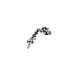 COO/C=N/[C@H](C(=O)N1CCC[C@H]1c1ncc(-c2ccc(-c3ccc(-c4cnc([C@@H]5CCCN5C(=O)[C@H](NC5=NCCN5)C(C)C)[nH]4)cc3)cc2)[nH]1)C(C)C